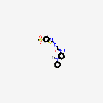 CCN(c1cccc(NC(=O)CN=Nc2nc3ccc(S(C)(=O)=O)cc3s2)c1)C1CCCCC1